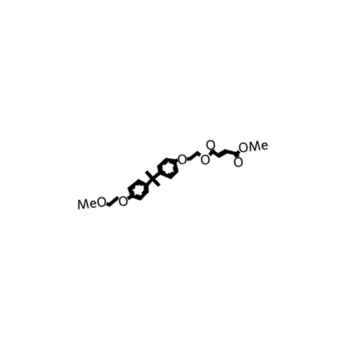 COCCOc1ccc(C(C)(C)c2ccc(OCCOC(=O)/C=C/C(=O)OC)cc2)cc1